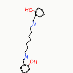 Oc1ccccc1C=NCCCCCCCN=Cc1ccccc1O